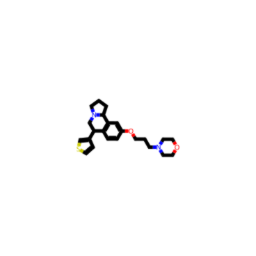 c1cc(C2CN3CCCC3c3cc(OCCCN4CCOCC4)ccc32)cs1